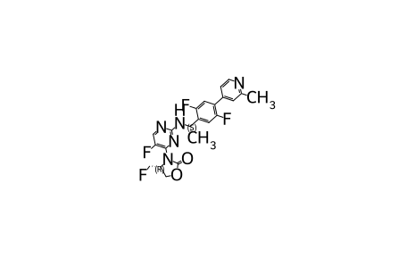 Cc1cc(-c2cc(F)c([C@H](C)Nc3ncc(F)c(N4C(=O)OC[C@@H]4CF)n3)cc2F)ccn1